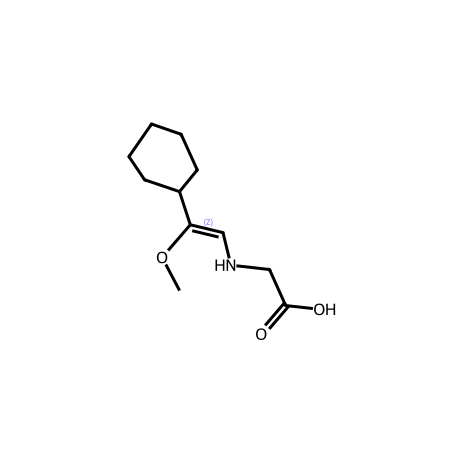 CO/C(=C\NCC(=O)O)C1CCCCC1